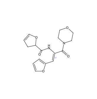 O=C(N/C(=C\c1ccco1)C(=O)N1CCOCC1)C1CC=CO1